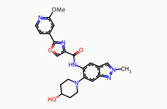 COc1cc(-c2nc(C(=O)Nc3cc4cn(C)nc4cc3N3CCC(O)CC3)co2)ccn1